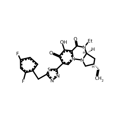 C=C[C@H]1C[C@@H]2N(CC)C(=O)c3c(O)c(=O)c(-c4nnc(Cc5ccc(F)cc5F)s4)cn3N2C1